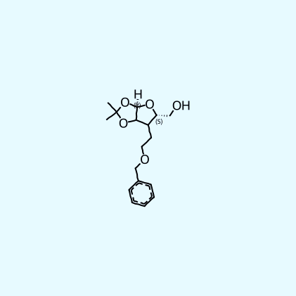 CC1(C)OC2C(CCOCc3ccccc3)[C@@H](CO)O[C@@H]2O1